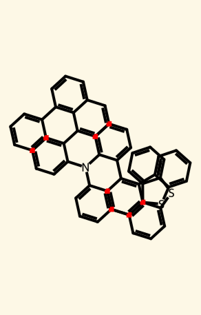 c1ccc(-c2cccc3cccc(-c4ccccc4N(c4cccc(-c5cccc6sc7ccccc7c56)c4)c4ccccc4-c4cccc5sc6ccccc6c45)c23)cc1